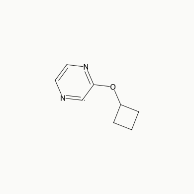 [c]1nccnc1OC1CCC1